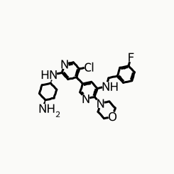 N[C@H]1CC[C@H](Nc2cc(-c3cnc(N4CCOCC4)c(NCc4cccc(F)c4)c3)c(Cl)cn2)CC1